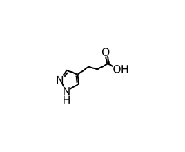 O=C(O)CCc1cn[nH]c1